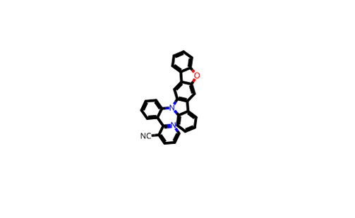 N#Cc1cccnc1-c1ccccc1-n1c2ccccc2c2cc3oc4ccccc4c3cc21